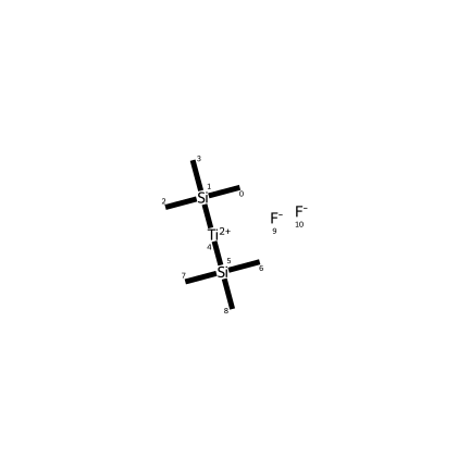 C[Si](C)(C)[Ti+2][Si](C)(C)C.[F-].[F-]